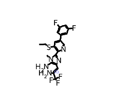 CCSc1cc(-c2cc(F)cc(F)c2)cnc1-c1nc(/C=C(\N)C(F)(F)F)c(N)n1C